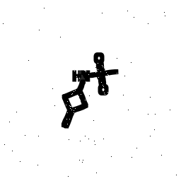 C=C1CC(NS(C)(=O)=O)C1